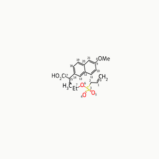 C=CCS(=O)(=O)OCC.COc1ccc2cc(C(C)C(=O)O)ccc2c1